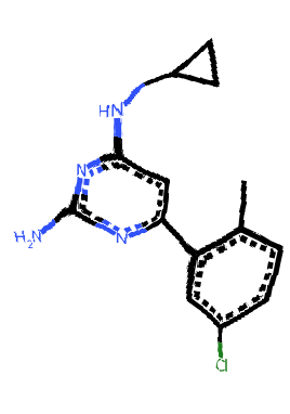 Cc1ccc(Cl)cc1-c1cc(NC2CC2)nc(N)n1